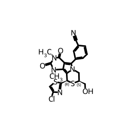 Cn1c(=O)c2c(-c3cccc(C#N)c3)n3c(c2n(C)c1=O)[C@H](c1nc(Cl)cs1)S[C@H](CO)C3